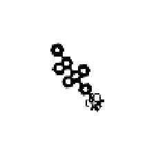 CC1(C)OB(c2ccc(-c3c4ccccc4c(-c4ccc(-c5ccccc5)c5ccccc45)c4ccccc34)cc2)OC1(C)C